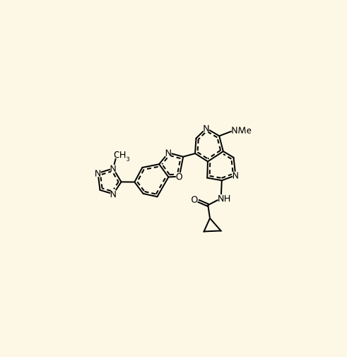 CNc1ncc(-c2nc3cc(-c4ncnn4C)ccc3o2)c2cc(NC(=O)C3CC3)ncc12